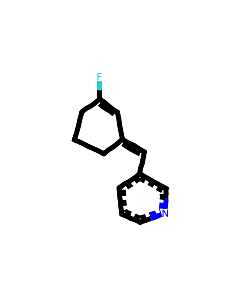 FC1=CC(=Cc2cccnc2)CCC1